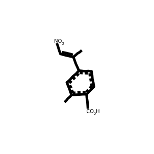 CC(=C[N+](=O)[O-])c1ccc(C(=O)O)c(C)c1